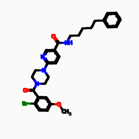 COc1ccc(Br)c(C(=O)N2CCN(c3ccc(C(=O)NCCCCCc4ccccc4)cn3)CC2)c1